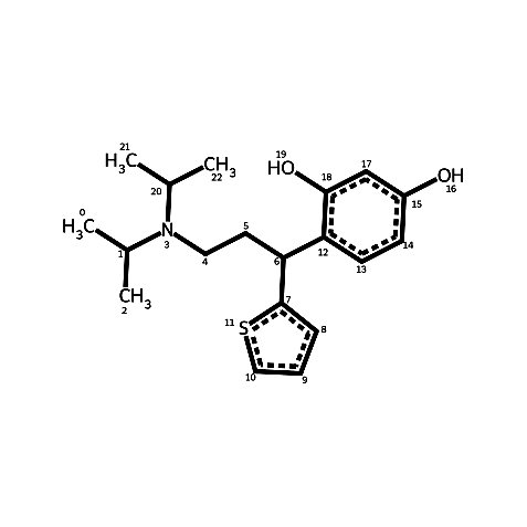 CC(C)N(CCC(c1cccs1)c1ccc(O)cc1O)C(C)C